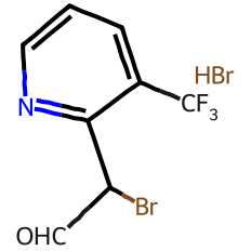 Br.O=CC(Br)c1ncccc1C(F)(F)F